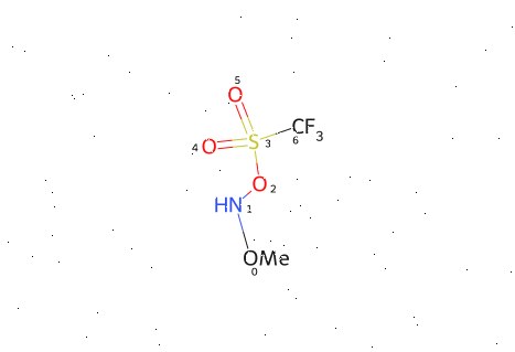 CONOS(=O)(=O)C(F)(F)F